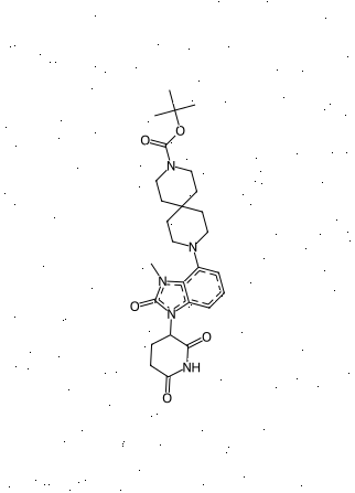 Cn1c(=O)n(C2CCC(=O)NC2=O)c2cccc(N3CCC4(CCN(C(=O)OC(C)(C)C)CC4)CC3)c21